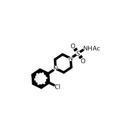 CC(=O)NS(=O)(=O)N1CCN(c2ccccc2Cl)CC1